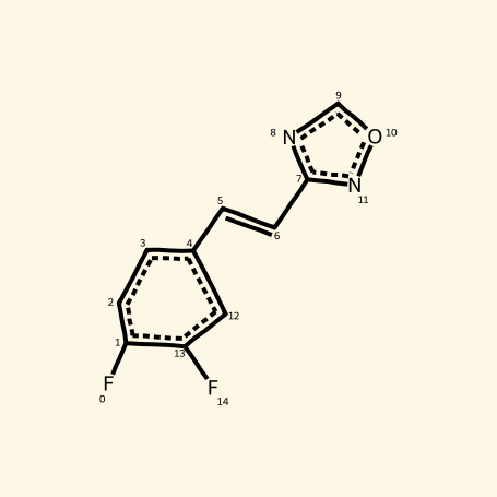 Fc1ccc(C=Cc2ncon2)cc1F